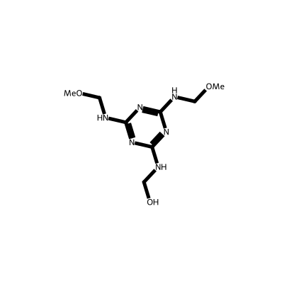 COCNc1nc(NCO)nc(NCOC)n1